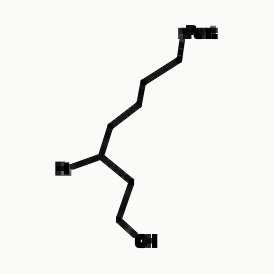 CCCCCCCCCC(CC)CCO